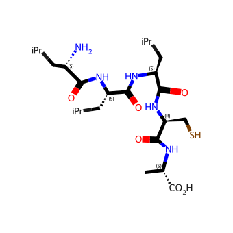 CC(C)C[C@H](NC(=O)[C@H](CC(C)C)NC(=O)[C@@H](N)CC(C)C)C(=O)N[C@@H](CS)C(=O)N[C@@H](C)C(=O)O